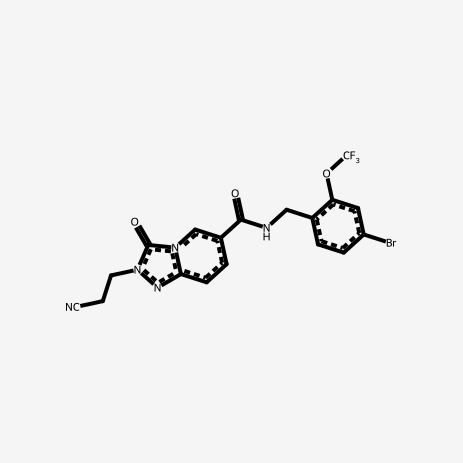 N#CCCn1nc2ccc(C(=O)NCc3ccc(Br)cc3OC(F)(F)F)cn2c1=O